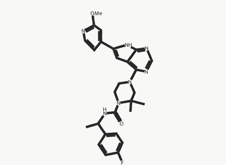 COc1cc(-c2cc3c(N4CCN(C(=O)NC(C)c5ccc(F)cc5)C(C)(C)C4)ncnc3[nH]2)ccn1